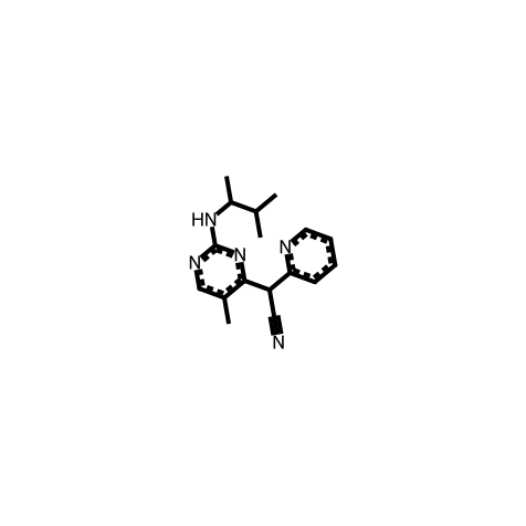 Cc1cnc(NC(C)C(C)C)nc1C(C#N)c1ccccn1